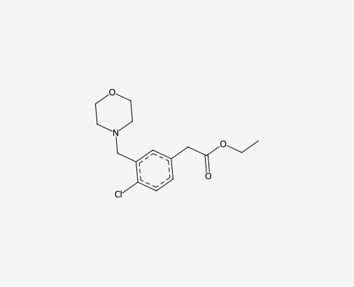 CCOC(=O)Cc1ccc(Cl)c(CN2CCOCC2)c1